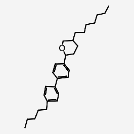 CCCCCCCC1CCC(c2ccc(-c3ccc(CCCCC)cc3)cc2)OC1